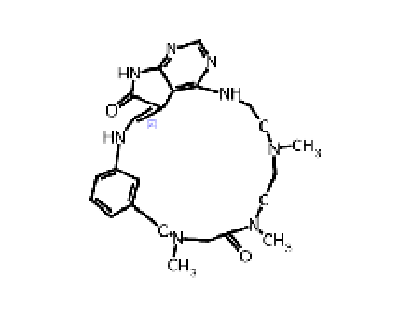 CN1CCNc2ncnc3c2/C(=C/Nc2cccc(c2)CN(C)CC(=O)N(C)CC1)C(=O)N3